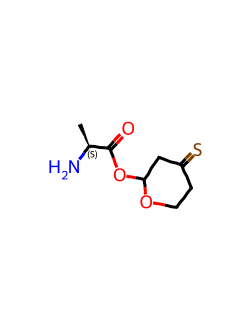 C[C@H](N)C(=O)OC1CC(=S)CCO1